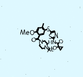 COc1cc(C)c(Sc2cnc(NC(=O)C3(O)CC3)s2)cc1C(=O)N1CCN(C(C)=O)CC1